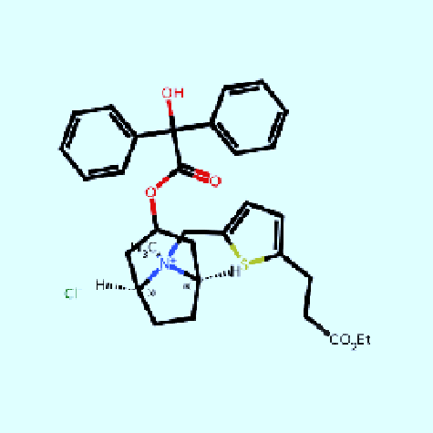 CCOC(=O)CCc1ccc(C[N+]2(C)[C@@H]3CC[C@H]2CC(OC(=O)C(O)(c2ccccc2)c2ccccc2)C3)s1.[Cl-]